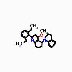 CCc1cccc(CC)c1-c1cc(OC)c2c(n1)CCCC2N1CCCc2ccccc21